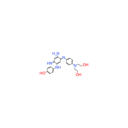 N=C1C=C(N)C(=Nc2ccc(N(CCO)CCO)cc2)C=C1Nc1ccc(O)cc1